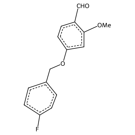 COc1cc(OCc2ccc(F)cc2)ccc1C=O